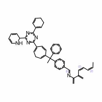 C=C(/C=C\C=C/C)C(=C)/N=C/c1ccc(C(C)(C2=CCC=C(c3nc(C4=CCCC=C4)nc(C4C=CC=CN4)n3)C=C2)c2ccccc2)cc1